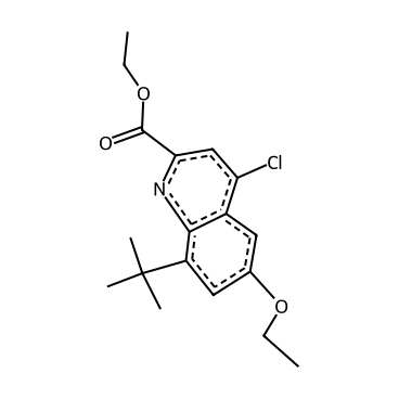 CCOC(=O)c1cc(Cl)c2cc(OCC)cc(C(C)(C)C)c2n1